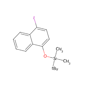 CC(C)(C)[Si](C)(C)Oc1ccc(I)c2ccccc12